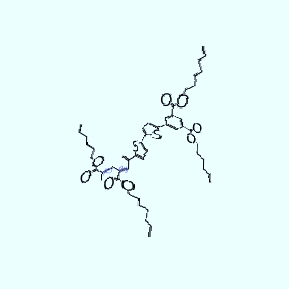 C=CCCCCCOC(=O)C(/C=C(\C)C(=O)OCCCCC=C)=C/C(=C)c1ccc(-c2ccc(-c3cc(C(=O)OCCCCC=C)cc(C(=O)OCCCCCC=C)c3)s2)s1